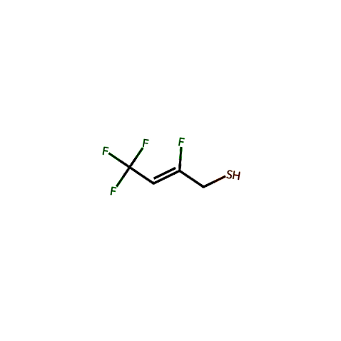 FC(=CC(F)(F)F)CS